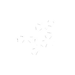 c1ccc(N(c2ccc(C3CCCCC3)cc2)c2ccc(C3(c4ccc(N(c5ccccc5)c5ccc6sc7ccccc7c6c5)cc4)C4CC5CC(C4)CC3C5)cc2)cc1